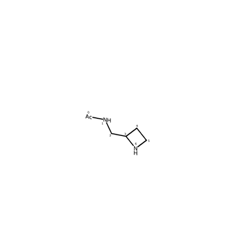 CC(=O)NCC1CCN1